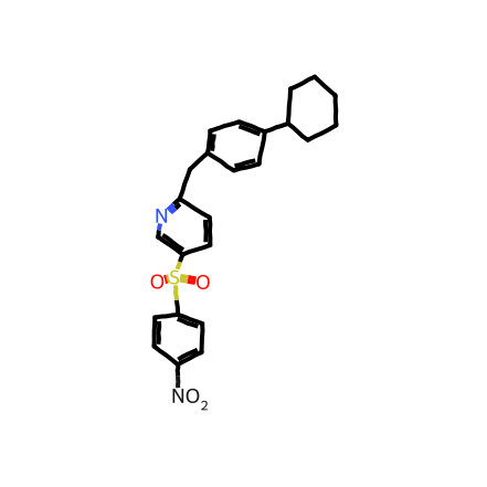 O=[N+]([O-])c1ccc(S(=O)(=O)c2ccc(Cc3ccc(C4CCCCC4)cc3)nc2)cc1